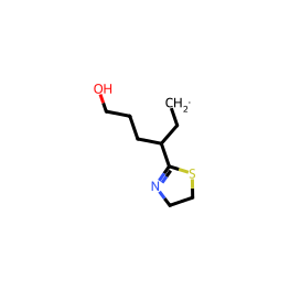 [CH2]CC(CCCO)C1=NCCS1